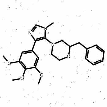 COc1cc(-c2ncn(C)c2N2CCOC(Cc3ccccc3)C2)cc(OC)c1OC